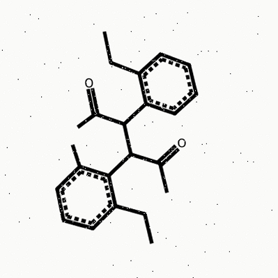 CCc1ccccc1C(C(C)=O)C(C(C)=O)c1c(C)cccc1CC